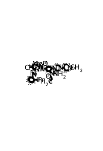 C=CC(=O)N(N)c1cc(N=Nc2ncc(Cl)c(N=Nc3ccccc3C(C)C)n2)c(OC)cc1N1CCN(C2CCN(C)CC2)CC1